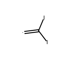 [CH]=C(I)I